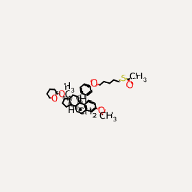 C=C[C@@]12CCc3cc(OC)ccc3[C@H]1[C@@H](c1ccc(OCCCCCSC(C)=O)cc1)C[C@]1(C)[C@@H](O[C@H]3CCCCO3)CC[C@H]12